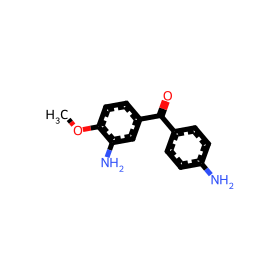 COc1ccc(C(=O)c2ccc(N)cc2)cc1N